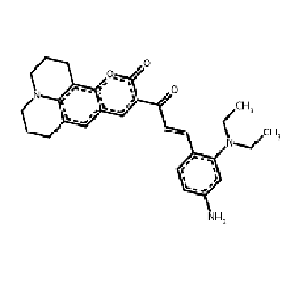 CCN(CC)c1cc(N)ccc1C=CC(=O)c1cc2cc3c4c(c2oc1=O)CCCN4CCC3